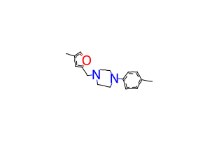 Cc1ccc(N2CCN(Cc3cc(C)co3)CC2)cc1